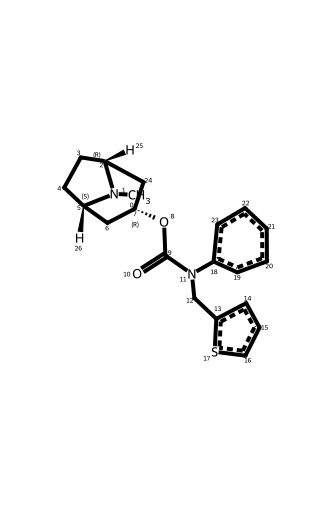 CN1[C@@H]2CC[C@H]1C[C@@H](OC(=O)N(Cc1cccs1)c1ccccc1)C2